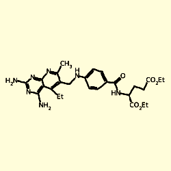 CCOC(=O)CC[C@H](NC(=O)c1ccc(NCc2c(C)nc3nc(N)nc(N)c3c2CC)cc1)C(=O)OCC